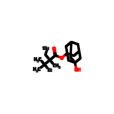 CCC(C)(C)C(C)(CC(C)(C)C)C(=O)OC12CC3CC(CC(O)(C3)C1)C2